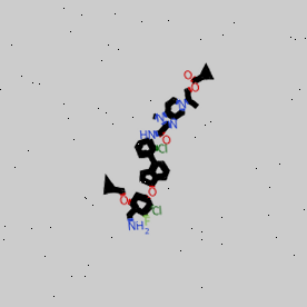 CC(COC(=O)C1CC1)N1CCc2c(nc(C(=O)Nc3cccc(-c4cccc5c4CCC5Oc4cc(OCC5CC5)c(CN)c(F)c4Cl)c3Cl)n2C)C1